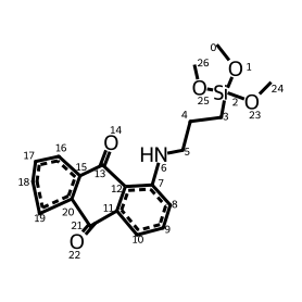 CO[Si](CCCNc1cccc2c1C(=O)c1ccccc1C2=O)(OC)OC